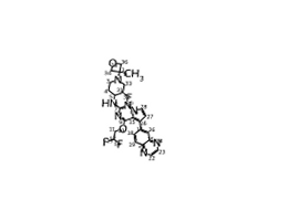 CC1(N2CC[C@H](Nc3nc(OCC(F)F)c4c(-c5ccc6nccnc6c5)ccn4n3)[C@H](F)C2)COC1